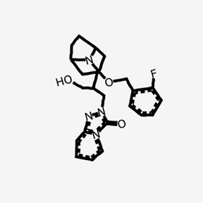 O=c1n(CC(CO)CN2C3CCC2CC(OCc2ccccc2F)C3)nc2ccccn12